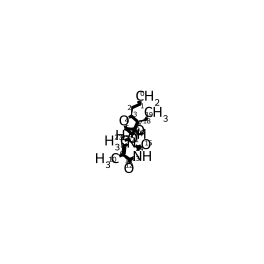 C=CC[C@@H]1O[C@H]2[C@H](n3cc(C)c(=O)[nH]c3=O)O[C@]1(CC)[C@H]2OC